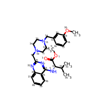 COC(=O)[C@@H](Nc1nc(CN2CCN(Cc3cccc(OC)c3)CC2)nc2ccccc12)C(C)C